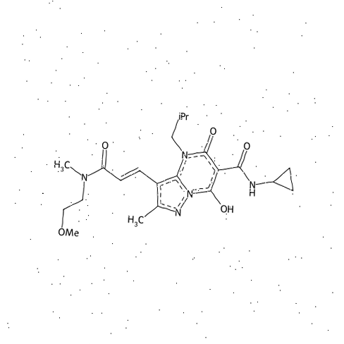 COCCN(C)C(=O)/C=C/c1c(C)nn2c(O)c(C(=O)NC3CC3)c(=O)n(CC(C)C)c12